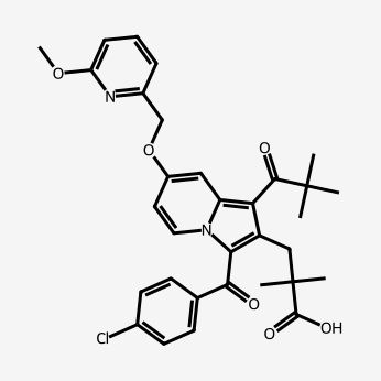 COc1cccc(COc2ccn3c(C(=O)c4ccc(Cl)cc4)c(CC(C)(C)C(=O)O)c(C(=O)C(C)(C)C)c3c2)n1